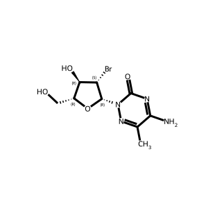 Cc1nn([C@@H]2O[C@H](CO)[C@@H](O)[C@@H]2Br)c(=O)nc1N